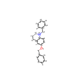 c1ccc(COc2ccc3c(c2)CCCN3Cc2ccccc2)cc1